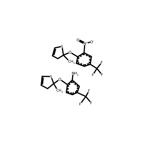 CC1(Oc2ccc(C(F)(F)F)cc2N)CC=CS1.CC1(Oc2ccc(C(F)(F)F)cc2[N+](=O)[O-])CC=CS1